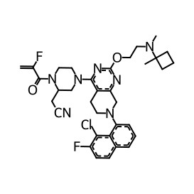 C=C(F)C(=O)N1CCN(c2nc(OCCN(C)C3(C)CCC3)nc3c2CCN(c2cccc4ccc(F)c(Cl)c24)C3)CC1CC#N